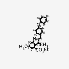 CCOC(=O)c1cc(C)nc2nn(Cc3ccc(Oc4ccccc4)cc3)c(C)c12